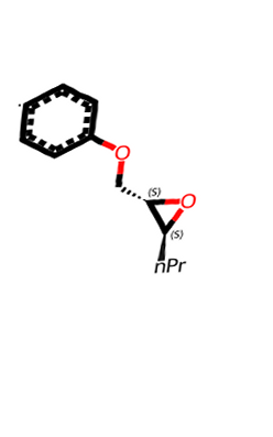 CCC[C@@H]1O[C@H]1COc1cc[c]cc1